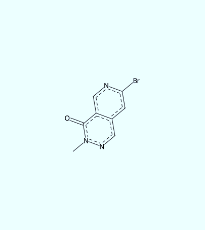 Cn1ncc2cc(Br)ncc2c1=O